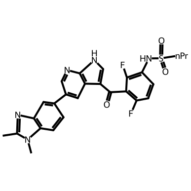 CCCS(=O)(=O)Nc1ccc(F)c(C(=O)c2c[nH]c3ncc(-c4ccc5c(c4)nc(C)n5C)cc23)c1F